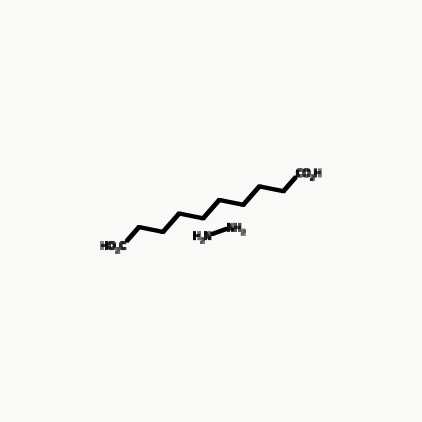 NN.O=C(O)CCCCCCCCC(=O)O